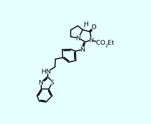 CCOC(=O)N1C(=O)[C@@H]2CCCN2/C1=N\c1ccc(CCNc2nc3ccccc3s2)cc1